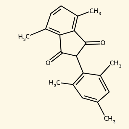 Cc1cc(C)c(C2C(=O)c3c(C)ccc(C)c3C2=O)c(C)c1